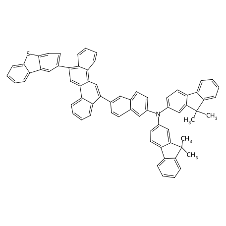 CC1(C)c2ccccc2-c2ccc(N(c3ccc4c(c3)C(C)(C)c3ccccc3-4)c3ccc4cc(-c5cc6c7ccccc7c(-c7ccc8sc9ccccc9c8c7)cc6c6ccccc56)ccc4c3)cc21